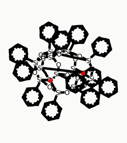 c1ccc([Si]23O[Si]4(c5ccccc5)O[Si]5(c6ccccc6)O[Si](c6ccccc6)(O2)O[Si]2(c6ccccc6)O[Si]6(c7ccccc7)O[Si]7(c8ccccc8)O[Si](c8ccccc8)(O2)O[Si](c2ccccc2)(O3)O[Si](c2ccccc2)(O4)O[Si](c2ccccc2)(O7)O[Si](c2ccccc2)(O6)O5)cc1